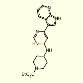 CCOC(=O)N1CCC(NC2C=C(c3c[nH]c4ncccc34)N=CN2)CC1